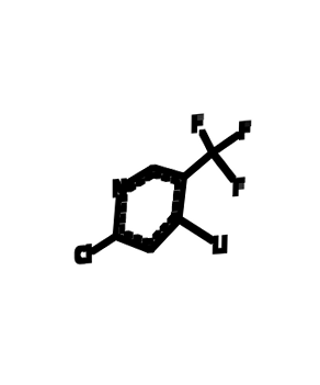 [Li][c]1cc(Cl)ncc1C(F)(F)F